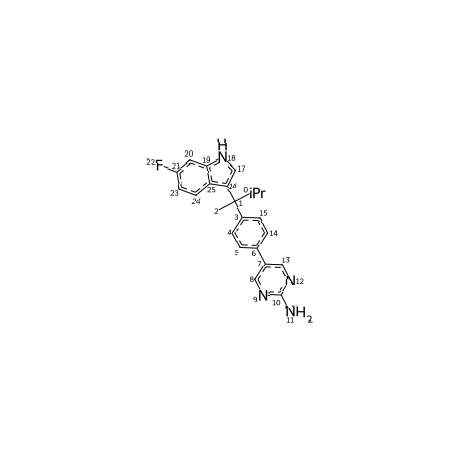 CC(C)C(C)(c1ccc(-c2cnc(N)nc2)cc1)c1c[nH]c2cc(F)ccc12